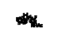 CC(=O)Nc1nc(F)c(CN2CCCC3(C2)OCc2ccncc23)s1